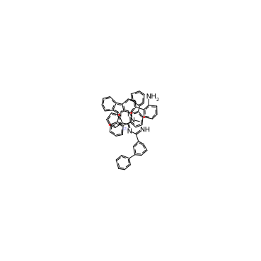 CN(/C(=N\C(=N)c1cccc(-c2ccccc2)c1)c1ccccc1)c1c(-c2ccccc2N)ccc2c3ccccc3n(-c3ccccc3-c3cccc(-c4ccccc4)n3)c12